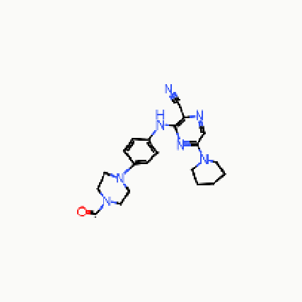 N#Cc1ncc(N2CCCCC2)nc1Nc1ccc(N2CCN([C]=O)CC2)cc1